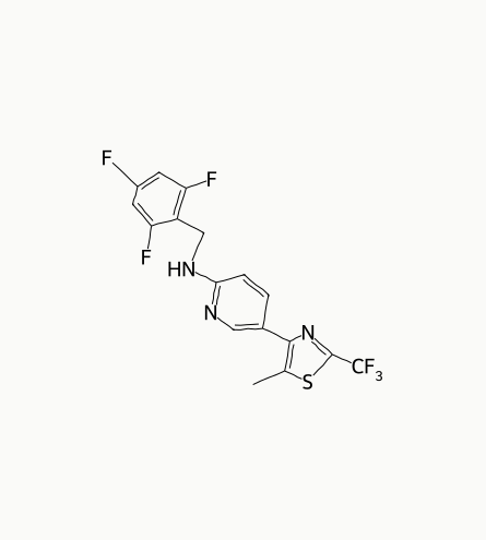 Cc1sc(C(F)(F)F)nc1-c1ccc(NCc2c(F)cc(F)cc2F)nc1